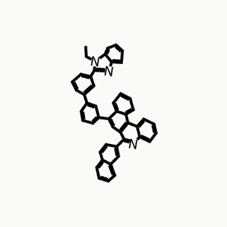 CCn1c(-c2cccc(-c3cccc(-c4cc5c(-c6ccc7ccccc7c6)nc6ccccc6c5c5ccccc45)c3)c2)nc2ccccc21